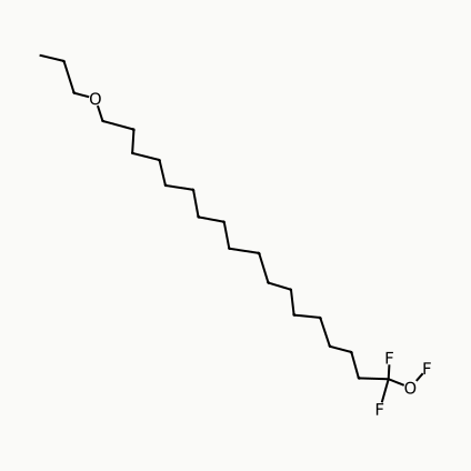 CCCOCCCCCCCCCCCCCCCCCC(F)(F)OF